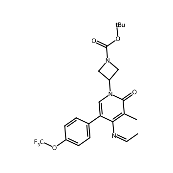 C/C=N\c1c(-c2ccc(OC(F)(F)F)cc2)cn(C2CN(C(=O)OC(C)(C)C)C2)c(=O)c1C